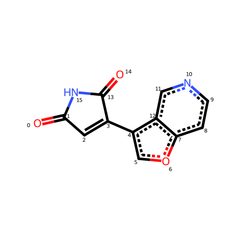 O=C1C=C(c2coc3ccncc23)C(=O)N1